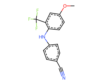 COc1ccc(Nc2ccc(C#N)cc2)c(C(F)(F)F)c1